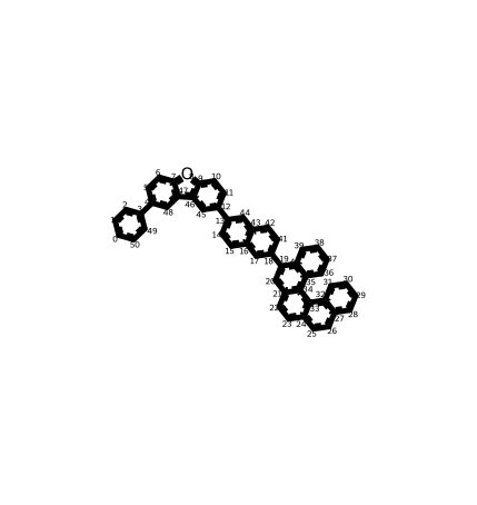 c1ccc(-c2ccc3oc4ccc(-c5ccc6cc(-c7cc8ccc9ccc%10ccccc%10c9c8c8ccccc78)ccc6c5)cc4c3c2)cc1